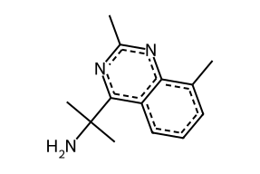 Cc1nc(C(C)(C)N)c2cccc(C)c2n1